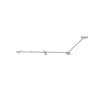 CCCCCCCCC=CCCCCCCCCOC(=O)CCCCCCCCCCCCCCCN1CCN=C1CCCCCCCCCCCCCCC(=O)O